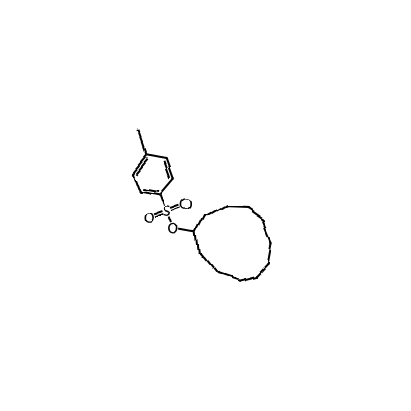 Cc1ccc(S(=O)(=O)OC2CCCCCCCCCC2)cc1